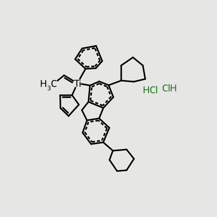 C[CH]=[Ti]([C]1=CC=CC1)([c]1ccccc1)[c]1cc(C2CCCCC2)cc2c1Cc1ccc(C3CCCCC3)cc1-2.Cl.Cl